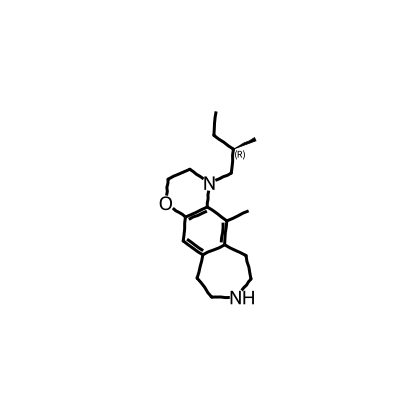 CC[C@@H](C)CN1CCOc2cc3c(c(C)c21)CCNCC3